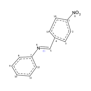 O=[N+]([O-])c1ccc(/C=N/c2ccccc2)cc1